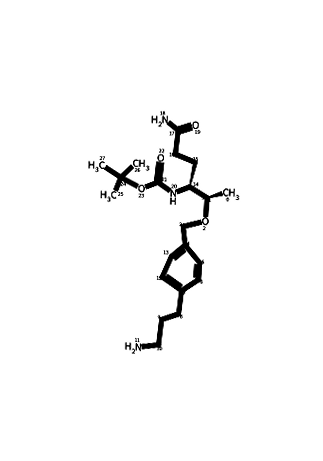 C[C@@H](OCc1ccc(CCCN)cc1)[C@H](CCC(N)=O)NC(=O)OC(C)(C)C